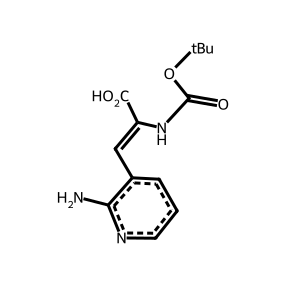 CC(C)(C)OC(=O)NC(=Cc1cccnc1N)C(=O)O